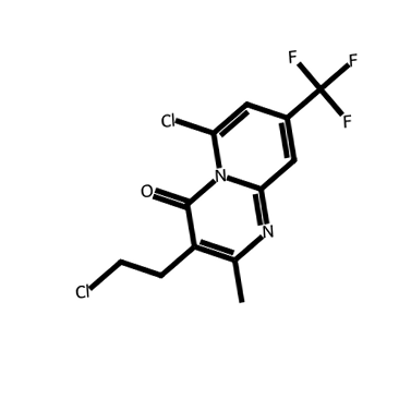 Cc1nc2cc(C(F)(F)F)cc(Cl)n2c(=O)c1CCCl